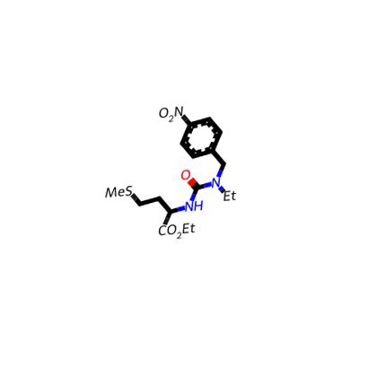 CCOC(=O)C(CCSC)NC(=O)N(CC)Cc1ccc([N+](=O)[O-])cc1